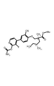 C[C@H](CN)C[C@@](C)(COc1ccc(-c2ccnc(OC(N)=O)c2F)cc1C#N)C(=O)OC(C)(C)C